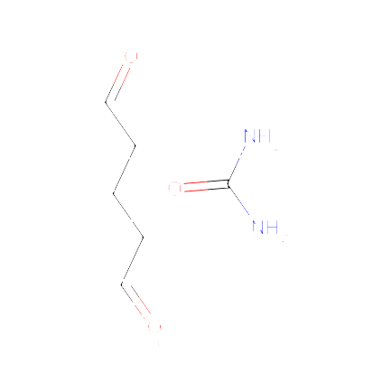 NC(N)=O.O=CCCCC=O